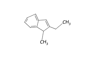 CCC1=Cc2ccccc2C1C